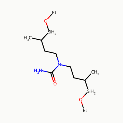 CCO[SiH2]C(C)CCN(CCC(C)[SiH2]OCC)C(N)=O